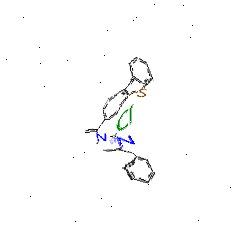 C=C(/N=C(/Cl)N(C)C(=C)c1ccc2c(c1)sc1ccccc12)c1ccccc1